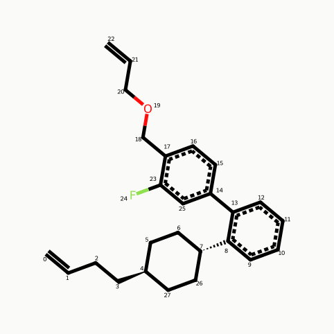 C=CCC[C@H]1CC[C@H](c2ccccc2-c2ccc(COCC=C)c(F)c2)CC1